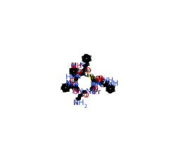 CC(C)[C@@H]1NC(=O)[C@H](CCCCN)NC(=O)[C@@H](Cc2c[nH]c3ccccc23)NC(=O)[C@H](Cc2ccc(O)cc2)NC(=O)[C@@H](CC(=O)[C@H](N)Cc2ccccc2)CSSC[C@@H](C(=O)N[C@@H](Cc2c[nH]c3ccccc23)C(N)=O)NC1=O